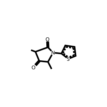 CC1C(=O)C(C)N(c2cccs2)C1=O